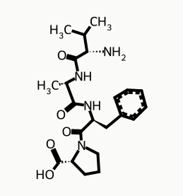 CC(C)[C@H](N)C(=O)N[C@@H](C)C(=O)N[C@@H](Cc1ccccc1)C(=O)N1CCC[C@@H]1C(=O)O